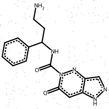 NCCC(NC(=O)n1nc2cn[nH]c2cc1=O)c1ccccc1